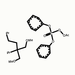 CC(=O)OOP(=O)(Oc1ccccc1)Oc1ccccc1.COCC(CCC(C)C)(COC)C(C)C